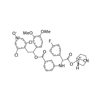 COc1ccc(C(Cc2c(Cl)c[n+]([O-])cc2Cl)OC(=O)c2cccc(NC(C(=O)O[C@H]3CN4CCC3CC4)c3ccc(F)cc3)c2)cc1OC